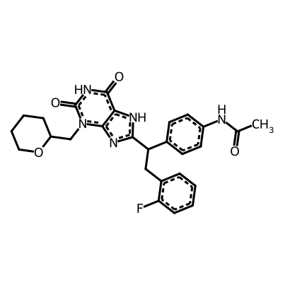 CC(=O)Nc1ccc(C(Cc2ccccc2F)c2nc3c([nH]2)c(=O)[nH]c(=O)n3CC2CCCCO2)cc1